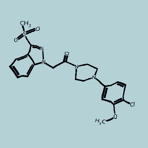 COc1cc(N2CCN(C(=O)Cn3nc(S(C)(=O)=O)c4ccccc43)CC2)ccc1Cl